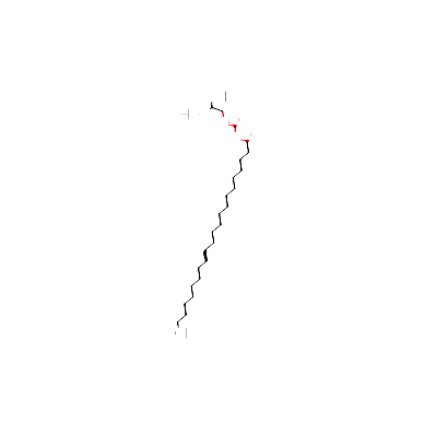 CCCCCCCCC=CCCCCCCCCCCCC(=O)OC(=O)OCC(C)C